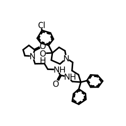 O=C(NCCCN1CCCC1=O)NCC(CCCN1CCC(O)(c2ccc(Cl)cc2)CC1)(c1ccccc1)c1ccccc1